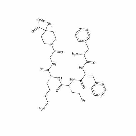 COC(=O)C1(N)CCN(C(=O)CNC(=O)[C@@H](CCCCN)NC(=O)[C@@H](CCC(C)C)NC(=O)[C@@H](Cc2ccccc2)NC(=O)[C@H](N)Cc2ccccc2)CC1